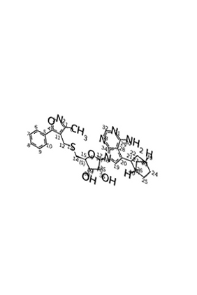 Cc1noc(-c2ccccc2)c1CSC[C@H]1O[C@@H](n2cc(C3C[C@@H]4CC[C@H]3C4)c3c(N)ncnc32)[C@H](O)[C@@H]1O